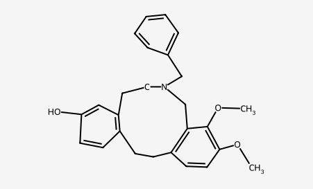 COc1ccc2c(c1OC)CN(Cc1ccccc1)CCc1cc(O)ccc1CC2